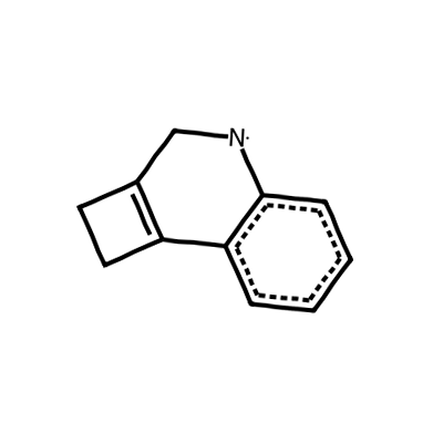 c1ccc2c(c1)[N]CC1=C2CC1